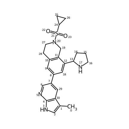 Cc1c[nH]c2ncc(-c3cc4c(c(C5CCCN5)c3)CN(S(=O)(=O)C3CC3)CC4)cc12